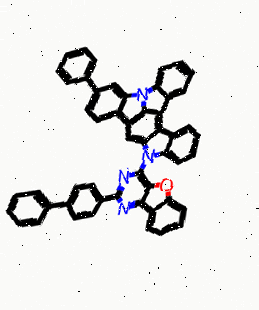 c1ccc(-c2ccc(-c3nc(-n4c5ccccc5c5c6c7ccccc7n7c8cc(-c9ccccc9)ccc8c(cc54)c67)c4oc5ccccc5c4n3)cc2)cc1